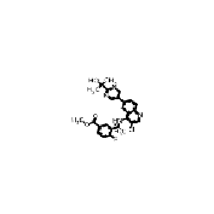 COC(=O)c1ccc(F)c([C@@H](C)Nc2c(Cl)cnc3ccc(-c4cnc(C(C)(C)O)nc4)cc23)c1